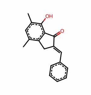 Cc1cc(C)c2c(c1O)C(=O)C(=Cc1ccccc1)C2